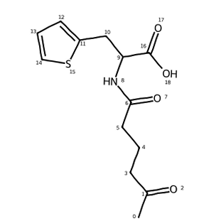 CC(=O)CCCC(=O)NC(Cc1cccs1)C(=O)O